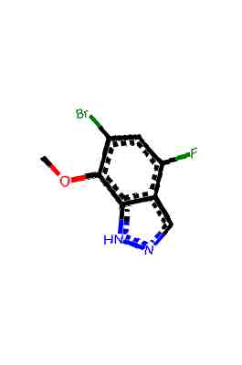 COc1c(Br)cc(F)c2cn[nH]c12